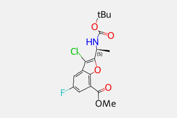 COC(=O)c1cc(F)cc2c(Cl)c([C@H](C)NC(=O)OC(C)(C)C)oc12